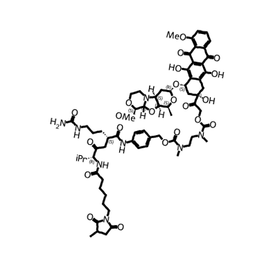 COc1cccc2c1C(=O)c1c(O)c3c(c(O)c1C2=O)C[C@@](O)(C(=O)COC(=O)N(C)CCN(C)C(=O)OCc1ccc(NC(=O)[C@@H](CCCNC(N)=O)CC(=O)[C@H](NC(=O)CCCCCN2C(=O)CC(C)C2=O)C(C)C)cc1)C[C@@H]3O[C@H]1C[C@H]2[C@H](O[C@@H]3[C@@H](OC)OCCN32)[C@H](C)O1